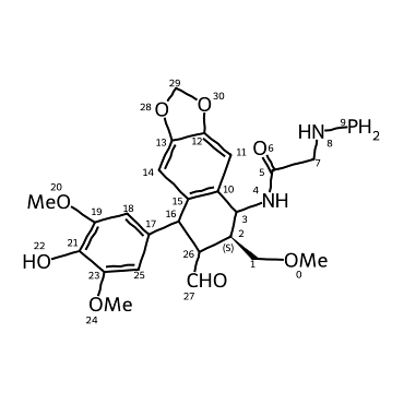 COC[C@@H]1C(NC(=O)CNP)c2cc3c(cc2C(c2cc(OC)c(O)c(OC)c2)C1C=O)OCO3